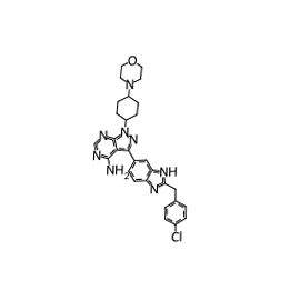 Nc1ncnc2c1c(-c1ccc3nc(Cc4ccc(Cl)cc4)[nH]c3c1)nn2C1CCC(N2CCOCC2)CC1